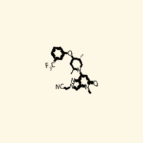 C[C@@H]1CN(c2cc(=O)n(C)c3cn(CC#N)nc23)[C@@H](C)CC1Oc1cccc(C(F)(F)F)c1